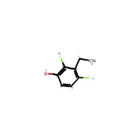 N#CCc1c(F)ccc(Br)c1F